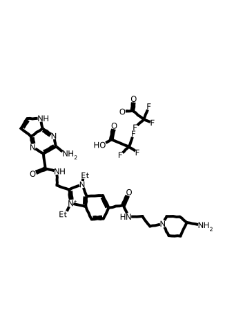 CCn1c(CNC(=O)c2nc3cc[nH]c3nc2N)[n+](CC)c2ccc(C(=O)NCCN3CCC(N)CC3)cc21.O=C(O)C(F)(F)F.O=C([O-])C(F)(F)F